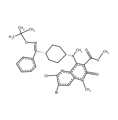 COC(=O)c1c(N(C)[C@H]2CC[C@@H](/C(=N/OC(C)(C)C)c3ccccc3)CC2)c2nc(Cl)c(Br)cc2n(C)c1=O